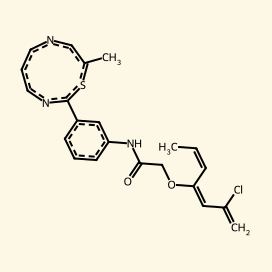 C=C(Cl)/C=C(\C=C/C)OCC(=O)Nc1cccc(-c2ncccncc(C)s2)c1